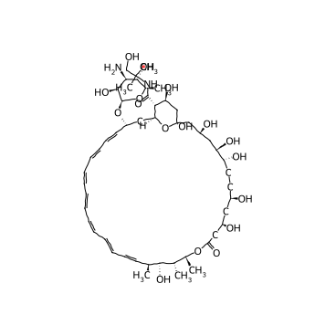 C[C@@H]1[C@H](O)[C@@H](C)/C=C/C=C/C=C/C=C/C=C/C=C/C=C/[C@H](O[C@@H]2O[C@H](C)[C@@H](O)[C@H](N)[C@@H]2O)C[C@@H]2O[C@](O)(C[C@@H](O)C[C@@H](O)[C@H](O)CC[C@@H](O)C[C@@H](O)CC(=O)O[C@H]1C)C[C@H](O)[C@H]2C(=O)NC(C)(C)CO